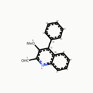 COc1c(C=O)nc2ccccc2c1-c1ccccc1